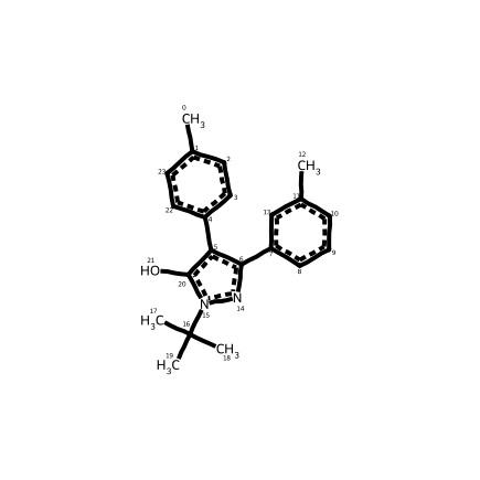 Cc1ccc(-c2c(-c3cccc(C)c3)nn(C(C)(C)C)c2O)cc1